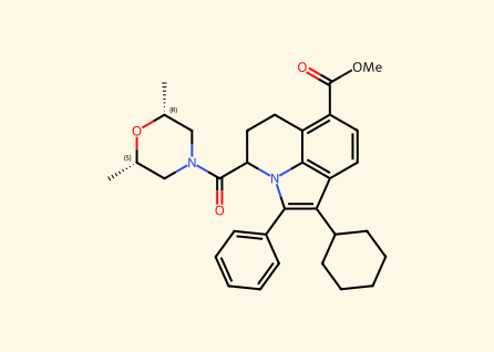 COC(=O)c1ccc2c(C3CCCCC3)c(-c3ccccc3)n3c2c1CCC3C(=O)N1C[C@@H](C)O[C@@H](C)C1